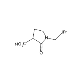 CC(C)CN1CCC(C(=O)O)C1=O